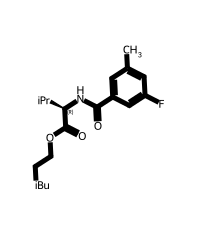 CCC(C)CCOC(=O)[C@H](NC(=O)c1cc(C)cc(F)c1)C(C)C